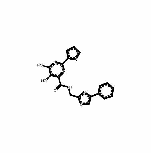 O=C(NCc1nc(-c2ccccc2)cs1)c1nc(-c2cccs2)nc(O)c1O